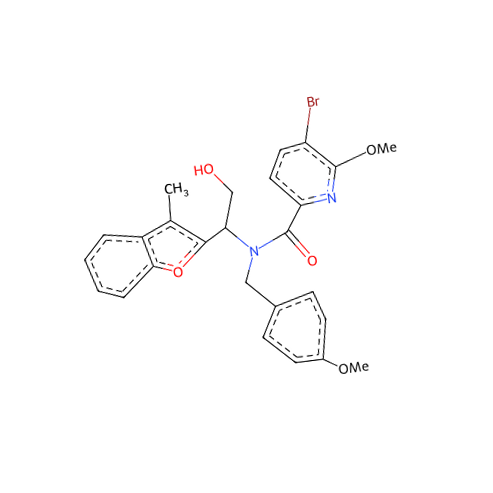 COc1ccc(CN(C(=O)c2ccc(Br)c(OC)n2)C(CO)c2oc3ccccc3c2C)cc1